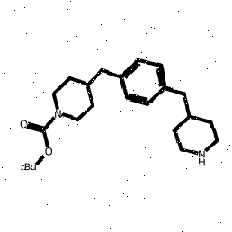 CC(C)(C)OC(=O)N1CCC(Cc2ccc(CC3CCNCC3)cc2)CC1